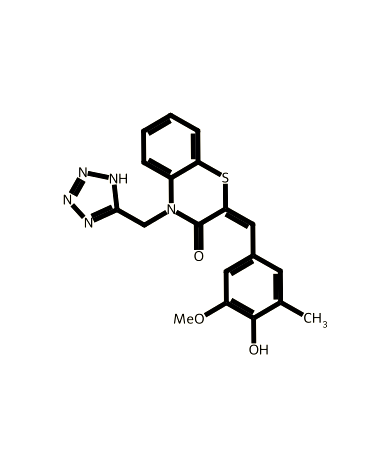 COc1cc(C=C2Sc3ccccc3N(Cc3nnn[nH]3)C2=O)cc(C)c1O